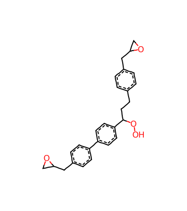 OOC(CCc1ccc(CC2CO2)cc1)c1ccc(-c2ccc(CC3CO3)cc2)cc1